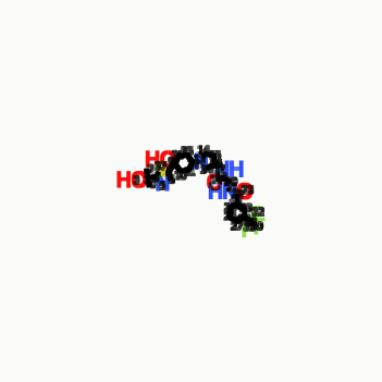 CC(C)(O)c1ncc(C2(O)CCC(N3CC[C@@H](NC(=O)CNC(=O)c4cccc(C(F)(F)F)c4)C3)CC2)s1